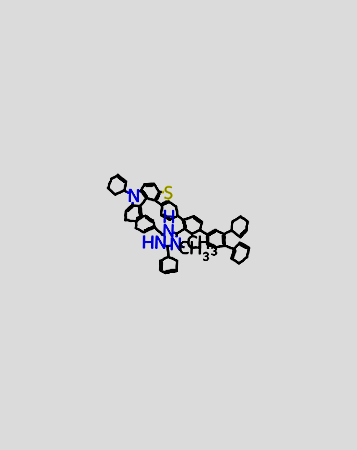 CC1C(C2NC(C3=CCCC=C3)NC(C3C=CC=CC3)N2C)=C(C2C=Cc3c(sc4ccc5c(c6c(n5C5C=CCCC5)=CCCC=6)c34)C2)C=CC1c1ccc(C2=CCCC=C2)c(C2C=CCCC2)c1